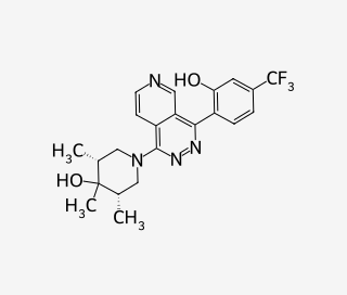 C[C@@H]1CN(c2nnc(-c3ccc(C(F)(F)F)cc3O)c3cnccc23)C[C@H](C)C1(C)O